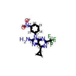 Nc1nc2c(C3CC3)nc(C(F)(F)F)nc2n1-c1cccc([N+](=O)[O-])c1